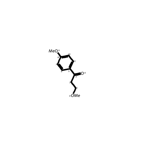 COCCC(=O)c1ccc(OC)cc1